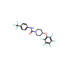 O=C(Nc1ccc(C(F)(F)F)cc1)N1CCC(Oc2c(F)c(F)c(F)c(F)c2F)CC1